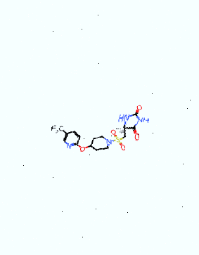 C[C@]1(CS(=O)(=O)N2CCC(Oc3ccc(C(F)(F)F)cn3)CC2)NC(=O)NC1=O